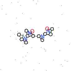 CC1(C)c2ccccc2-c2ccc3c4ccccc4n(-c4cc5c6ccc(-c7ccc8c(c7)c7ccccc7n8-c7ccc8c(c7)c7cccc9c%10ccccc%10c(=O)n8c97)cc6c(=O)n6c7ccccc7c(c4)c56)c3c21